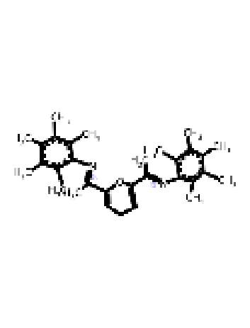 C/C(=N\c1c(C)c(C)c(C)c(C)c1C)C1=CCC=C(/C(C)=N/c2c(C)c(C)c(C)c(C)c2C)O1